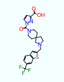 O=C(O)c1ccn(C(=O)N2CCC3(CCN(Cc4cc5ccc(C(F)(F)F)cc5s4)C3)CC2)n1